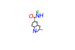 Cc1cnc2ccc(C(=O)NF)cc2c1